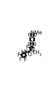 CNS(=O)(=O)N1CCN(S(=O)(=O)c2cn(C)c(C(=O)Nc3cc(F)c(F)c(F)c3)c2F)CC1